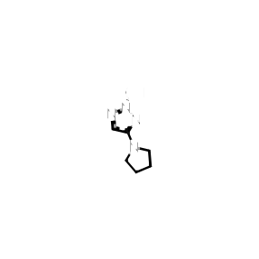 Cn1ncc(N2CCCC2)n1